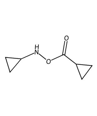 O=C(ONC1CC1)C1CC1